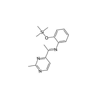 CC(=Nc1ccccc1O[Si](C)(C)C)c1ccnc(C)n1